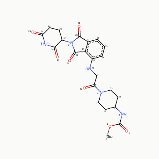 CC(C)(C)OC(=O)NC1CCN(C(=O)CNc2cccc3c2C(=O)N(C2CCC(=O)NC2=O)C3=O)CC1